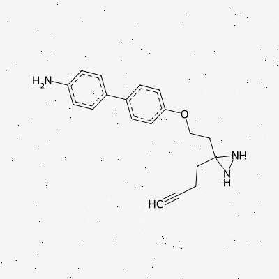 C#CCCC1(CCOc2ccc(-c3ccc(N)cc3)cc2)NN1